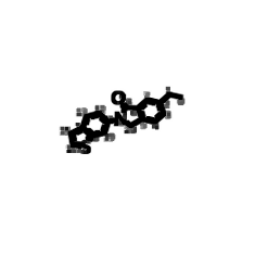 CCc1ccc2c(c1)C(=O)N(c1ccc3ccsc3c1)C2